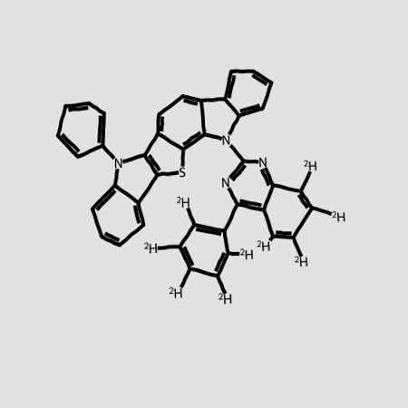 [2H]c1c([2H])c([2H])c(-c2nc(-n3c4ccccc4c4ccc5c(sc6c7ccccc7n(-c7ccccc7)c56)c43)nc3c([2H])c([2H])c([2H])c([2H])c23)c([2H])c1[2H]